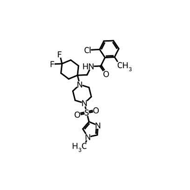 Cc1cccc(Cl)c1C(=O)NCC1(N2CCN(S(=O)(=O)c3cn(C)cn3)CC2)CCC(F)(F)CC1